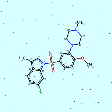 COc1ccc(S(=O)(=O)n2cc(C)c3ccc(Cl)cc32)cc1N1CCN(C)CC1